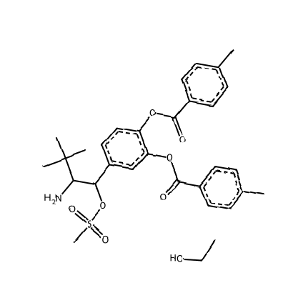 CCO.Cc1ccc(C(=O)Oc2ccc(C(OS(C)(=O)=O)C(N)C(C)(C)C)cc2OC(=O)c2ccc(C)cc2)cc1